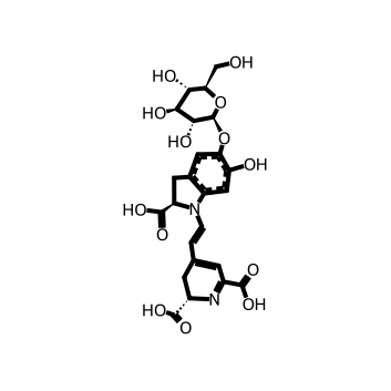 O=C(O)C1=N[C@H](C(=O)O)CC(/C=C/N2c3cc(O)c(O[C@@H]4O[C@H](CO)[C@@H](O)[C@H](O)[C@H]4O)cc3C[C@@H]2C(=O)O)=C1